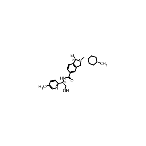 CC[C@@H]1c2ccc(C(=O)N[C@@H](CO)c3ccc(C)cn3)cc2CN1C[C@H]1CC[C@H](C)CC1